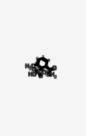 CC1=CC=CC(C(N)=O)C1(C)S(=O)(=O)O